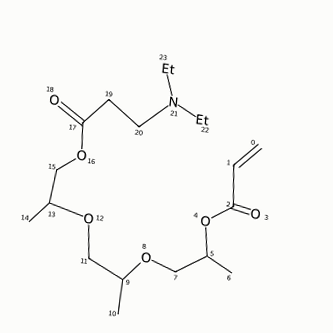 C=CC(=O)OC(C)COC(C)COC(C)COC(=O)CCN(CC)CC